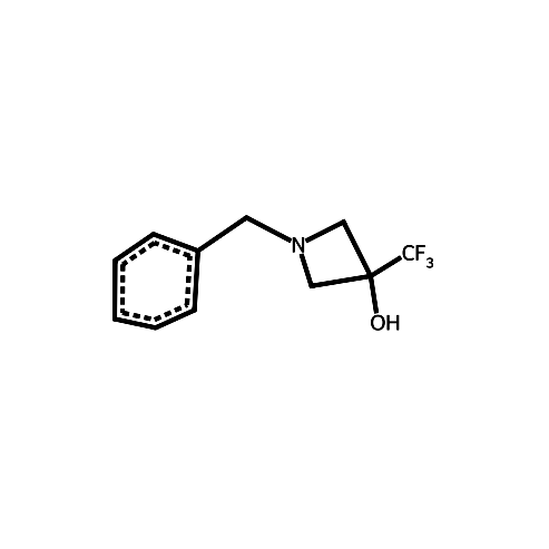 OC1(C(F)(F)F)CN(Cc2ccccc2)C1